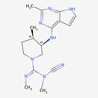 CN=C(N(C)C#N)N1CC[C@@H](C)[C@@H](Nc2nc(C)nc3[nH]ccc23)C1